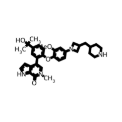 COc1cc(N2CC(CC3CCNCC3)C2)ccc1Oc1ccc(C(C)(C)O)cc1-c1cn(C)c(=O)c2[nH]ccc12